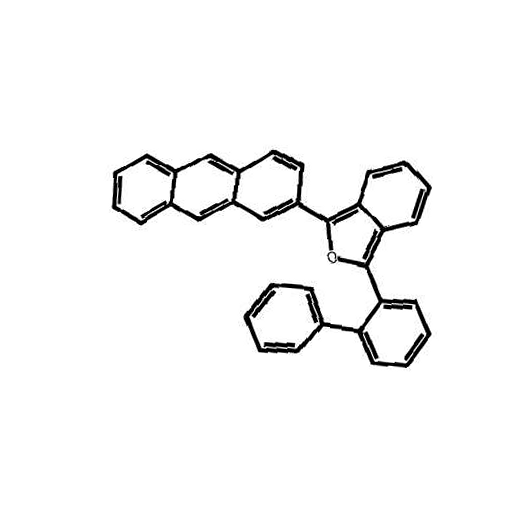 c1ccc(-c2ccccc2-c2oc(-c3ccc4cc5ccccc5cc4c3)c3ccccc23)cc1